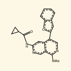 CNc1ncc(-c2cc3ccccc3o2)c2cc(NC(=O)C3CC3)ncc12